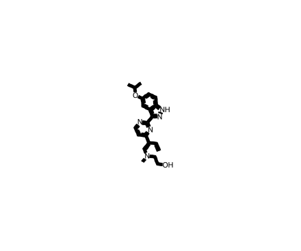 C=C/C(=C\N(C)CCO)c1ccnc(-c2n[nH]c3ccc(OC(C)C)cc23)n1